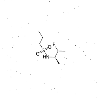 CCCS(=O)(=O)N[C@H](C)C(C)F